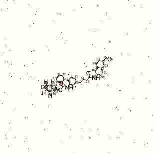 C[N+]1(C)[C@@H]2C[C@@H](OC(=O)Nc3cc(CCCC(=O)Nc4ccc5cc(C=O)ccc5c4)ccc3-c3ccccc3)C[C@H]1[C@@H]1O[C@@H]12